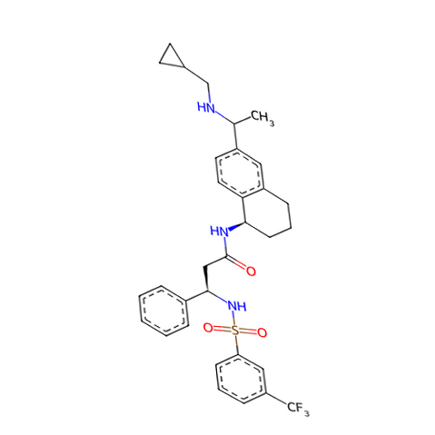 CC(NCC1CC1)c1ccc2c(c1)CCC[C@H]2NC(=O)C[C@@H](NS(=O)(=O)c1cccc(C(F)(F)F)c1)c1ccccc1